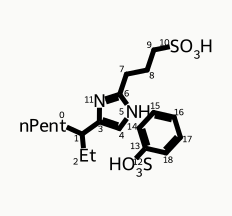 CCCCCC(CC)c1c[nH]c(CCCS(=O)(=O)O)n1.O=S(=O)(O)c1ccccc1